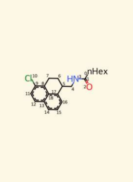 CCCCCCC(=O)NCC1CCc2c(Cl)ccc3cccc1c23